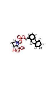 O=C(OCc1cccc2c1Cc1ccccc1-2)ON1CCC[C@H]1C(=O)O